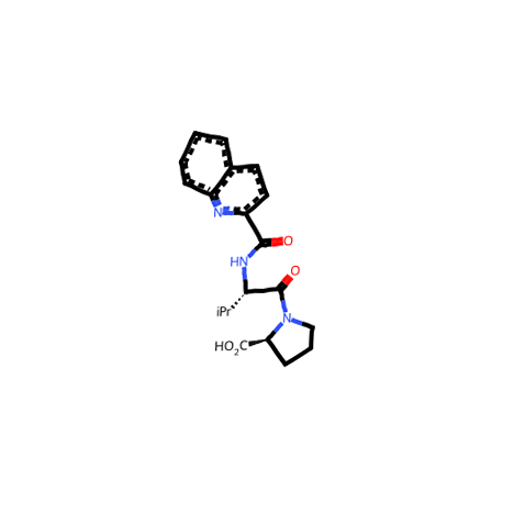 CC(C)[C@H](NC(=O)c1ccc2ccccc2n1)C(=O)N1CCC[C@H]1C(=O)O